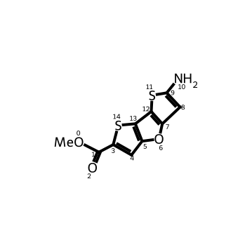 COC(=O)c1cc2oc3cc(N)sc3c2s1